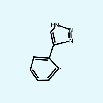 [c]1ccccc1-c1c[nH]nn1